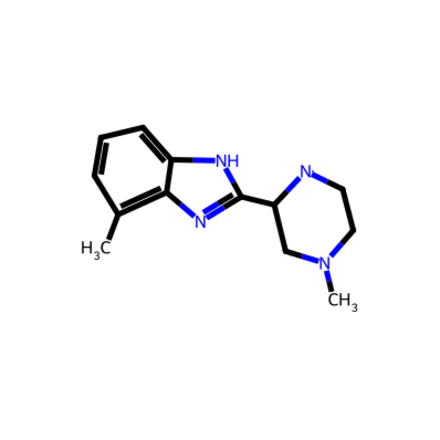 Cc1cccc2[nH]c(C3CN(C)CC[N]3)nc12